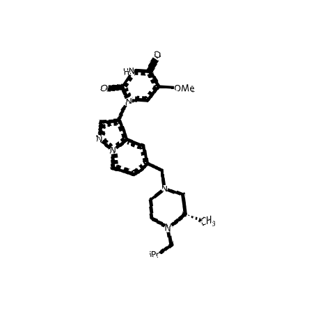 COc1cn(-c2cnn3ccc(CN4CCN(CC(C)C)[C@@H](C)C4)cc23)c(=O)[nH]c1=O